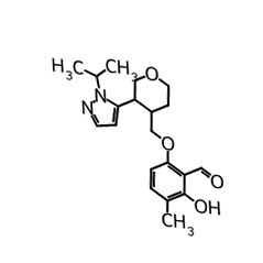 Cc1ccc(OCC2CCOCC2c2ccnn2C(C)C)c(C=O)c1O